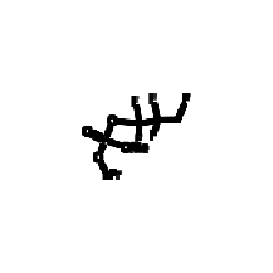 CCCOP(=O)(OC)OC(F)(F)C(F)(F)CF